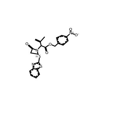 C=C(C)C(C(=O)OCc1ccc([N+](=O)[O-])cc1)N1C(=O)C[C@@H]1Sc1nc2ccccc2s1